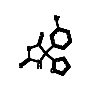 S=C1NC(c2cccc(Br)c2)(c2ccco2)C(=S)S1